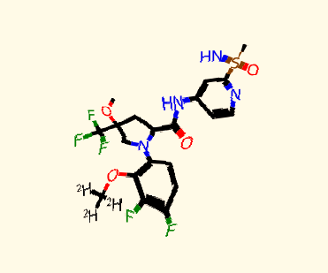 [2H]C([2H])([2H])Oc1c(N2CC(OC)(C(F)(F)F)CC2C(=O)Nc2ccnc([S@](C)(=N)=O)c2)ccc(F)c1F